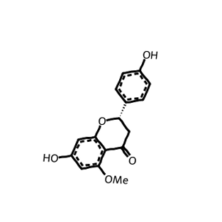 COc1cc(O)cc2c1C(=O)C[C@@H](c1ccc(O)cc1)O2